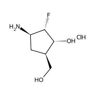 Cl.N[C@@H]1C[C@H](CO)[C@@H](O)[C@H]1F